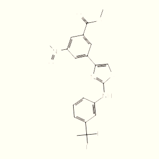 COC(=O)c1cc(-c2csc(Nc3cccc(C(F)(F)F)c3)n2)cc([N+](=O)[O-])c1